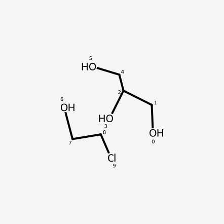 OCC(O)CO.OCCCl